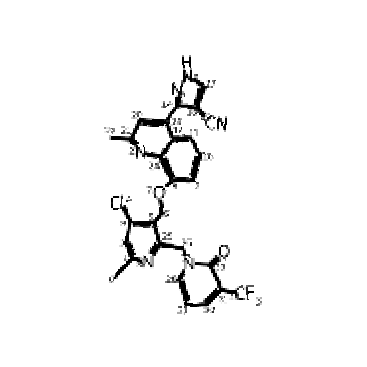 Cc1cc(Cl)c(COc2cccc3c(-c4n[nH]cc4C#N)cc(C)nc23)c(Cn2cccc(C(F)(F)F)c2=O)n1